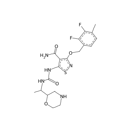 Cc1ccc(COc2nsc(NC(=O)NC(C)C3CNCCO3)c2C(N)=O)c(F)c1F